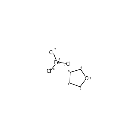 C1CCOC1.[Cl][Fe]([Cl])[Cl]